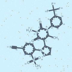 Cc1c(-c2ccnn2-c2ccc(C#N)cc2S(C)(=O)=O)c(=O)n(C)c(=O)n1-c1cccc(C(F)(F)F)c1